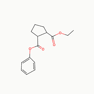 CCOC(=O)C1CCCC1C(=O)Oc1ccccc1